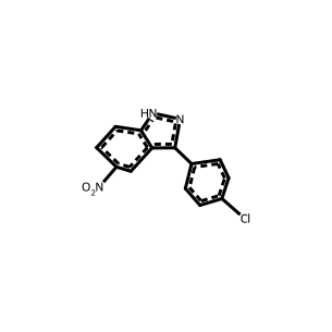 O=[N+]([O-])c1ccc2[nH]nc(-c3ccc(Cl)cc3)c2c1